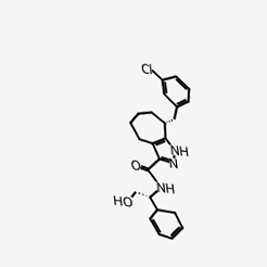 O=C(N[C@@H](CO)C1C=CC=CC1)c1n[nH]c2c1CCCC[C@@H]2Cc1cccc(Cl)c1